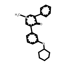 Cn1cc(-c2ccccc2)c(=O)c(-c2cccc(OC3CCCCC3)c2)c1